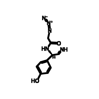 [N-]=[N+]=NCC(=O)N[C@@H](C=N)c1ccc(O)cc1